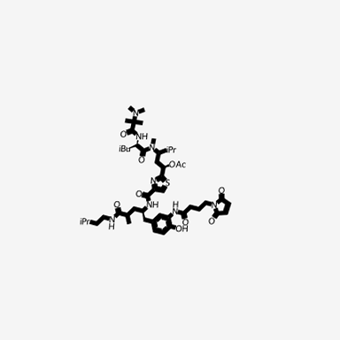 CC[C@H](C)[C@H](NC(=O)C(C)(C)N(C)C)C(=O)N(C)C(C[C@@H](OC(C)=O)c1nc(C(=O)N[C@@H](Cc2ccc(O)c(NC(=O)CCCN3C(=O)C=CC3=O)c2)CC(C)C(=O)NCCC(C)C)cs1)C(C)C